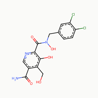 NC(=O)c1cnc(C(=O)N(O)Cc2ccc(Cl)c(Cl)c2)c(O)c1CO